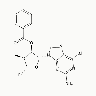 CC(C)[C@H]1O[C@@H](n2cnc3c(Cl)nc(N)nc32)[C@H](OC(=O)c2ccccc2)[C@@H]1C